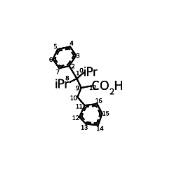 CC(C)C(c1ccccc1)(C(C)C)C(Cc1ccccc1)C(=O)O